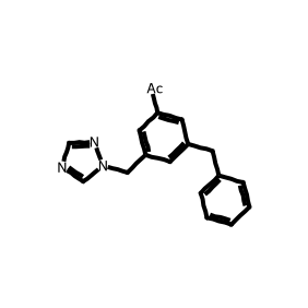 CC(=O)c1cc(Cc2ccccc2)cc(Cn2cncn2)c1